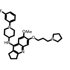 COc1cc2c(NC3CCN(c4cccc(F)c4)CC3)c3c(nc2cc1OCCCN1CCCC1)CCC3